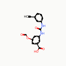 C#Cc1cccc(NC(=O)Nc2cc(OC=O)cc(C(=O)O)c2)c1